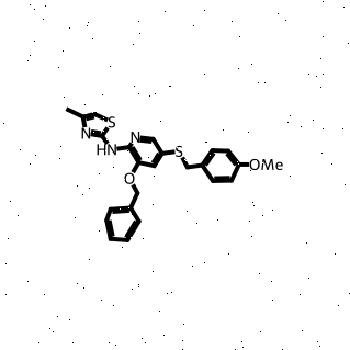 COc1ccc(CSc2cnc(Nc3nc(C)cs3)c(OCc3ccccc3)c2)cc1